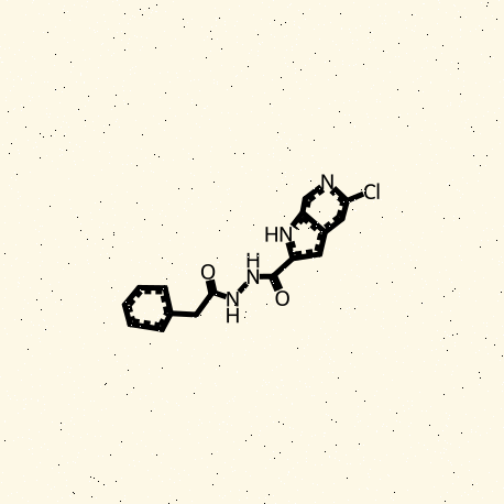 O=C(Cc1ccccc1)NNC(=O)c1cc2cc(Cl)ncc2[nH]1